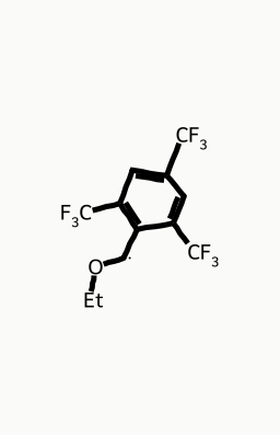 CCO[CH]c1c(C(F)(F)F)cc(C(F)(F)F)cc1C(F)(F)F